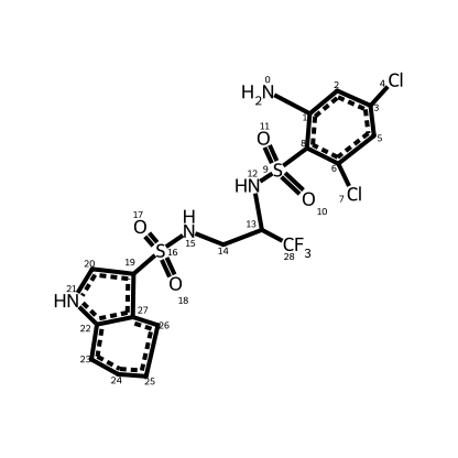 Nc1cc(Cl)cc(Cl)c1S(=O)(=O)NC(CNS(=O)(=O)c1c[nH]c2ccccc12)C(F)(F)F